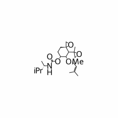 COC1C(OC(=O)N[C@@H](C)C(C)C)CC[C@]2(CO2)C1C1(C)O[C@@H]1CC=C(C)C